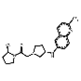 N#C[C@@H]1CCCN1C(=O)CN1CC[C@@H](Nc2ccc3nc(C(F)(F)F)ccc3c2)C1